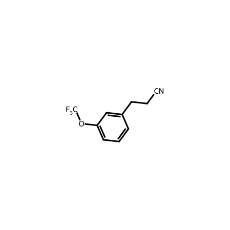 N#CCCc1cccc(OC(F)(F)F)c1